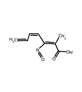 C=C/C=C\C(N=O)=C(/C)C(=O)O